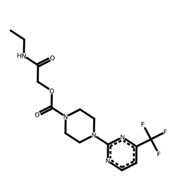 CCNC(=O)COC(=O)N1CCN(c2nccc(C(F)(F)F)n2)CC1